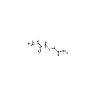 COC(=O)NCCNN